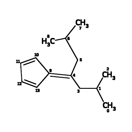 CC(C)CC(CC(C)C)=C1C=CC=C1